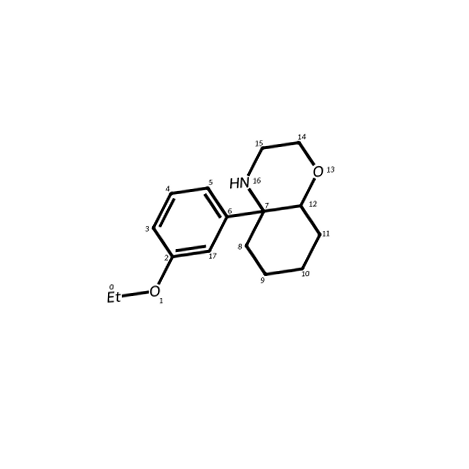 CCOc1cccc(C23CCCCC2OCCN3)c1